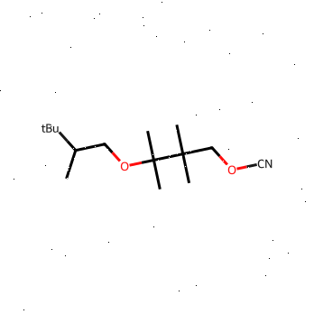 CC(COC(C)(C)C(C)(C)COC#N)C(C)(C)C